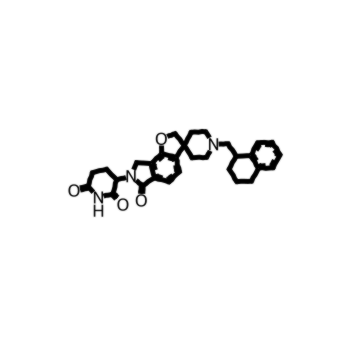 O=C1CCC(N2Cc3c(ccc4c3OCC43CCN(CC4CCCc5ccccc54)CC3)C2=O)C(=O)N1